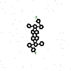 Fc1ccc(-c2ccccc2-c2ccc(-c3ccccc3)c3c2-c2ccc4c5ccc6c7c(ccc(c8ccc-3c2c84)c75)-c2c(-c3ccccc3-c3ccc(F)cc3)ccc(-c3ccccc3)c2-6)cc1